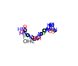 O=CC(CN1CCN(c2ccc(-c3ccc4cn(C(C(=O)Nc5nccs5)c5ncn6c5CCC6)nc4c3F)cn2)CC1)C1(O)CCN(c2ccc(NC3CCC(=O)NC3=O)c(F)c2)CC1